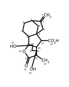 C=C1CC23CC1CCC2C12OC(=O)C(C)(C(O)CC1O)C2C3C(=O)O